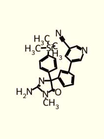 CN1C(=O)C(c2ccc([Si](C)(C)C)cc2)(c2cccc(-c3cncc(C#N)c3)c2)N=C1N